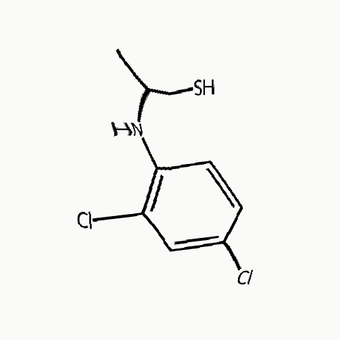 CC(S)Nc1ccc(Cl)cc1Cl